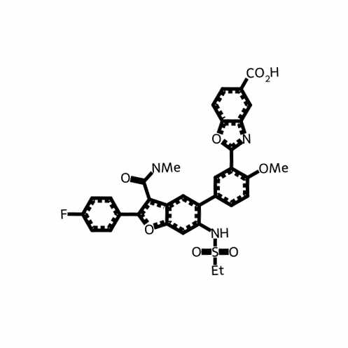 CCS(=O)(=O)Nc1cc2oc(-c3ccc(F)cc3)c(C(=O)NC)c2cc1-c1ccc(OC)c(-c2nc3cc(C(=O)O)ccc3o2)c1